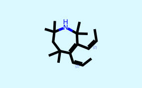 C/C=C\C1=C(/C=C\C)C(C)(C)NC(C)(C)CC1(C)C